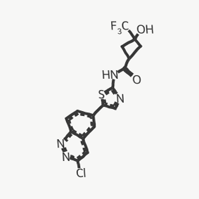 O=C(Nc1ncc(-c2ccc3nnc(Cl)cc3c2)s1)C1CC(O)(C(F)(F)F)C1